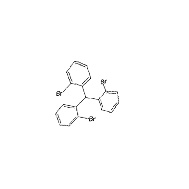 Brc1ccccc1C(c1ccccc1Br)c1ccccc1Br